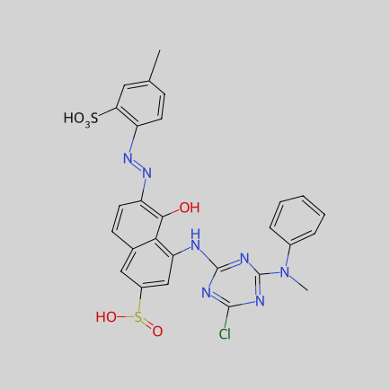 Cc1ccc(/N=N/c2ccc3cc(S(=O)O)cc(Nc4nc(Cl)nc(N(C)c5ccccc5)n4)c3c2O)c(S(=O)(=O)O)c1